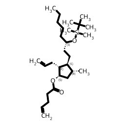 C=CCCC(=O)O[C@H]1C[C@@H](C)[C@H](CC[C@H](CCCCC)O[Si](C)(C)C(C)(C)C)[C@H]1CC=C